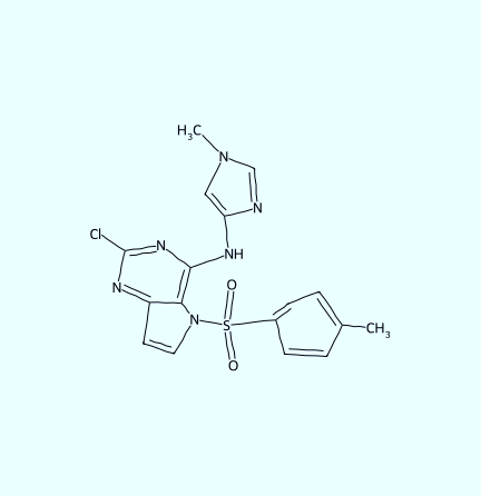 Cc1ccc(S(=O)(=O)n2ccc3nc(Cl)nc(Nc4cn(C)cn4)c32)cc1